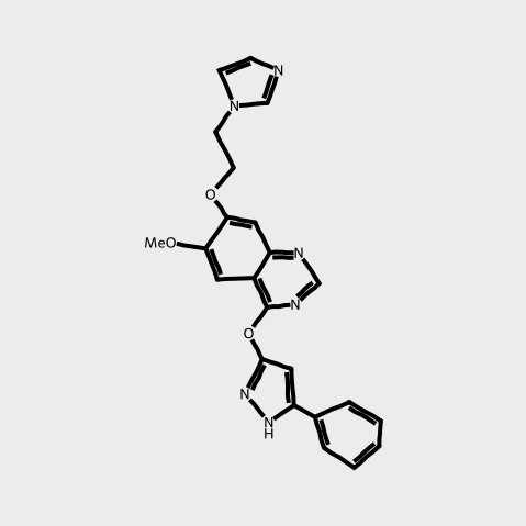 COc1cc2c(Oc3cc(-c4ccccc4)[nH]n3)ncnc2cc1OCCn1ccnc1